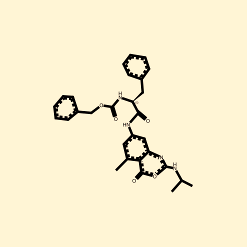 Cc1cc(NC(=O)[C@H](Cc2ccccc2)NC(=O)OCc2ccccc2)cc2nc(NC(C)C)oc(=O)c12